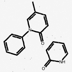 Cc1ccc(=O)n(-c2ccccc2)c1.O=c1cccc[nH]1